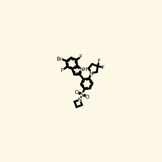 O=S(=O)(c1ccc(N2CCC(F)(F)C2)c(-c2cc3c(F)c(Br)cc(F)c3[nH]2)c1)N1CCC1